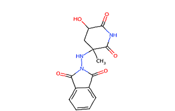 CC1(NN2C(=O)c3ccccc3C2=O)CC(O)C(=O)NC1=O